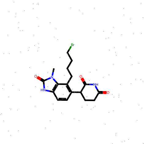 Cn1c(=O)[nH]c2ccc(C3CCC(=O)NC3=O)c(CCCCBr)c21